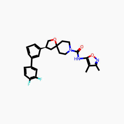 Cc1noc(NC(=O)N2CCC3(CC2)C[C@@H](c2cccc(-c4ccc(F)c(F)c4)c2)CO3)c1C